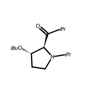 CC(C)CO[C@H]1CCN(C(C)C)[C@@H]1C(=O)C(C)C